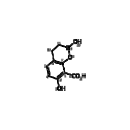 O=C(O)c1c(O)ccc2c1OB(O)CC2